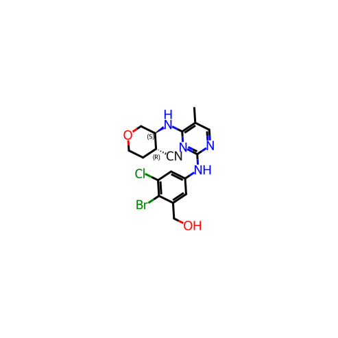 Cc1cnc(Nc2cc(Cl)c(Br)c(CO)c2)nc1N[C@@H]1COCC[C@H]1C#N